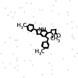 Cc1ccc(Cc2cc3cc(-c4ccc(C)cc4)[nH]c3cc2C2CCC(=O)N2C)cc1